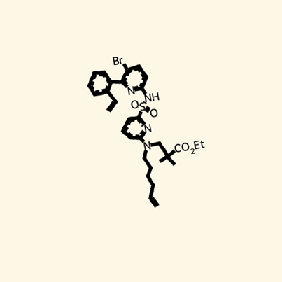 C=CCCCCN(CC(C)(C)C(=O)OCC)c1cccc(S(=O)(=O)Nc2ccc(Br)c(-c3ccccc3C=C)n2)n1